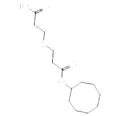 O=C(O)CCSCCC(=O)OC1CCCCCCC1